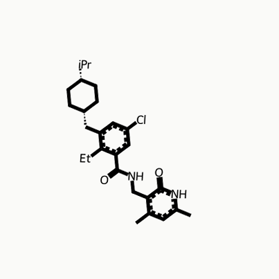 CCc1c(C[C@H]2CC[C@@H](C(C)C)CC2)cc(Cl)cc1C(=O)NCc1c(C)cc(C)[nH]c1=O